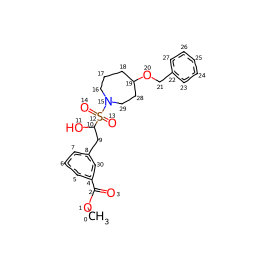 COC(=O)c1cccc(CC(O)S(=O)(=O)N2CCCC(OCc3ccccc3)CC2)c1